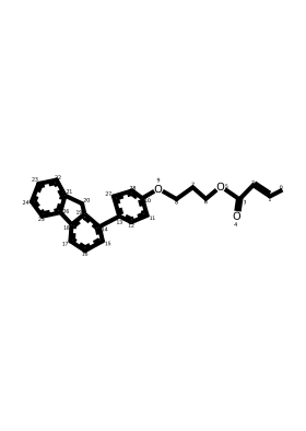 CC=CC(=O)OCCCOc1ccc(-c2cccc3c2Cc2ccccc2-3)cc1